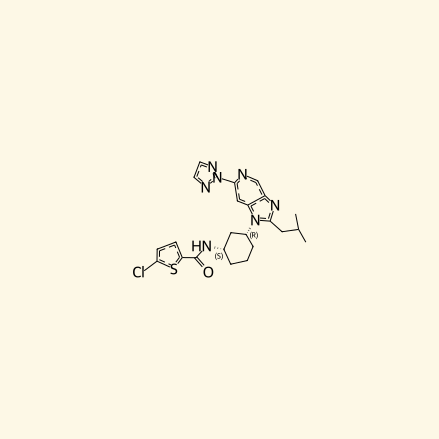 CC(C)Cc1nc2cnc(-n3nccn3)cc2n1[C@@H]1CCC[C@H](NC(=O)c2ccc(Cl)s2)C1